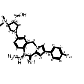 CN(C)[C@@H]1CN(c2ccc3c(c2)Cn2cc(-c4ccc(F)cc4)cc2C(=N)N3NN)C[C@H]1CO